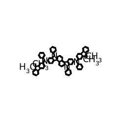 CC1(C)c2ccccc2-c2ccc(N(c3ccccc3)c3ccc4c5c6ccc7c(c6ccc5n(-c5ccccc5)c4c3)c3ccc(N(c4ccccc4)c4ccc5c(c4)C(C)(C)c4ccccc4-5)cc3n7-c3ccccc3)cc21